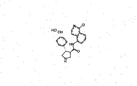 Cl.Cl.O=C(Nc1cccc2c(Cl)nccc12)[C@H]1CNC[C@@H]1c1ccccc1